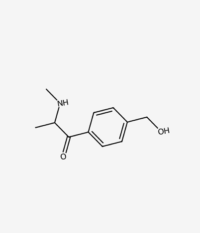 CNC(C)C(=O)c1ccc(CO)cc1